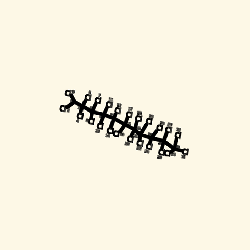 ClC(Cl)C(Cl)(Cl)C(Cl)(Cl)C(Cl)(Cl)C(Cl)(Cl)C(Cl)(Cl)C(Cl)(Cl)C(Cl)(Cl)C(Cl)(Cl)C(Cl)(Cl)C(Cl)(Cl)Cl